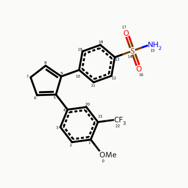 COc1ccc(C2=CCC=C2c2ccc(S(N)(=O)=O)cc2)cc1C(F)(F)F